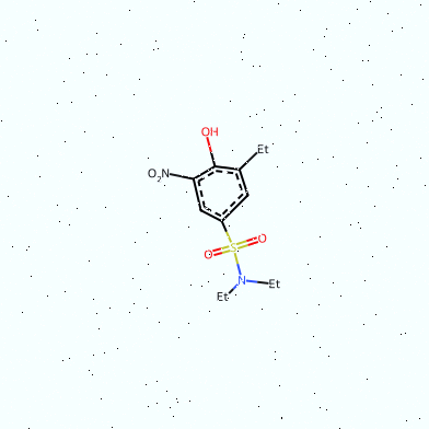 CCc1cc(S(=O)(=O)N(CC)CC)cc([N+](=O)[O-])c1O